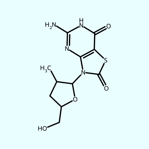 CC1CC(CO)OC1n1c(=O)sc2c(=O)[nH]c(N)nc21